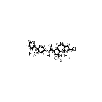 C[C@@]1(C(F)(F)F)C[C@@H](C(=O)Nc2cnc(-n3nccn3)c(C(F)(F)F)c2)c2cnc3cc(Cl)nn3c21